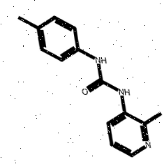 Cc1ccc(NC(=O)Nc2cccnc2C)cc1